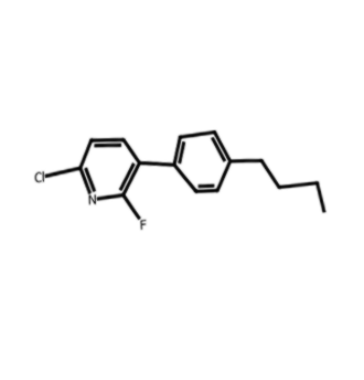 CCCCc1ccc(-c2ccc(Cl)nc2F)cc1